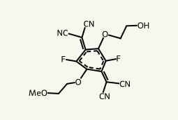 COCCOc1c(F)c(=C(C#N)C#N)c(OCCO)c(F)c1=C(C#N)C#N